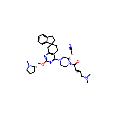 CN(C)C/C=C/C(=O)N1CCN(c2nc(OC[C@@H]3CCCN3C)nc3c2CCC2(CCc4ccccc42)C3)C[C@@H]1CC#N